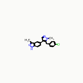 Cc1n[nH]c2ccc(-c3cnn(C)c3Cc3ccc(Cl)cc3)cc12